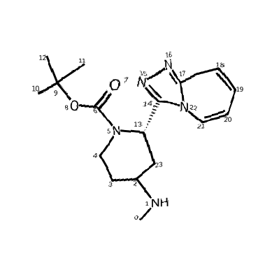 CNC1CCN(C(=O)OC(C)(C)C)[C@H](c2nnc3ccccn23)C1